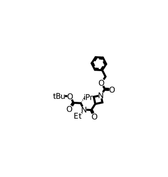 CCN(C(=O)C1CN(C(=O)OCc2ccccc2)C1)[C@H](C(=O)OC(C)(C)C)C(C)C